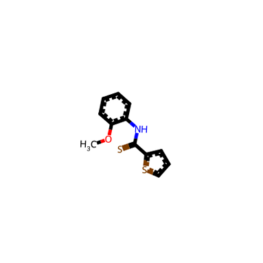 COc1ccccc1NC(=S)c1cccs1